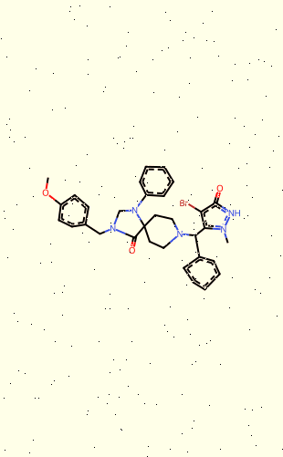 COc1ccc(CN2CN(c3ccccc3)C3(CCN(C(c4ccccc4)c4c(Br)c(=O)[nH]n4C)CC3)C2=O)cc1